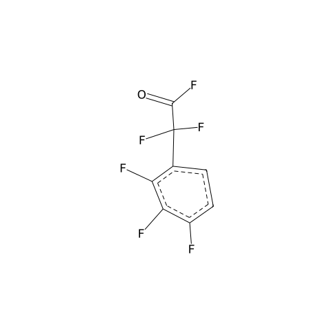 O=C(F)C(F)(F)c1ccc(F)c(F)c1F